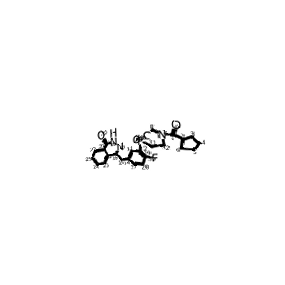 O=C(C1CCCC1)N1CCP(=O)(c2cc(Cc3n[nH]c(=O)c4ccccc34)ccc2F)CC1